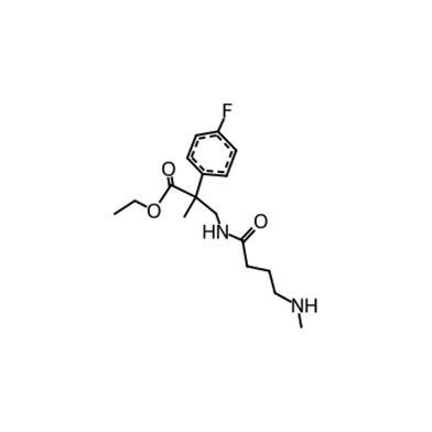 CCOC(=O)C(C)(CNC(=O)CCCNC)c1ccc(F)cc1